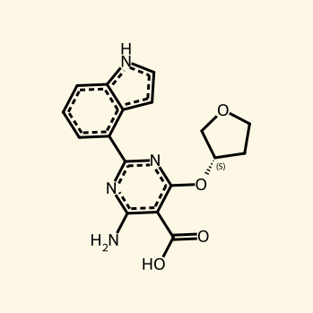 Nc1nc(-c2cccc3[nH]ccc23)nc(O[C@H]2CCOC2)c1C(=O)O